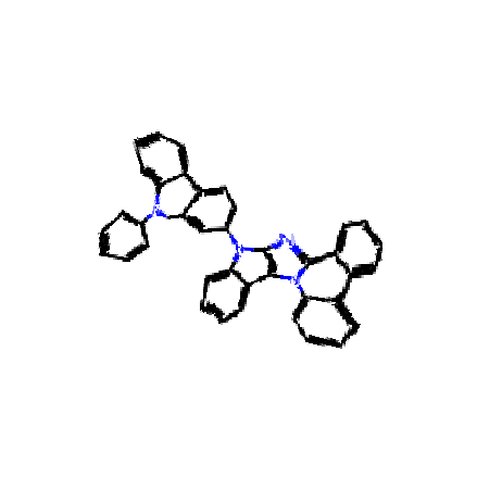 c1ccc(-n2c3ccccc3c3ccc(-n4c5ccccc5c5c4nc4c6ccccc6c6ccccc6n45)cc32)cc1